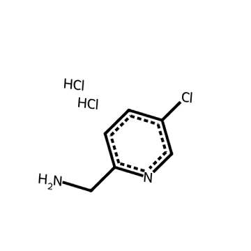 Cl.Cl.NCc1ccc(Cl)cn1